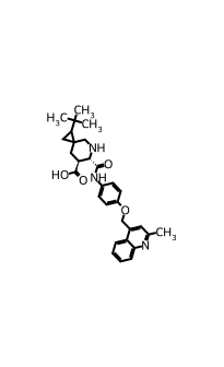 Cc1cc(COc2ccc(NC(=O)[C@H]3NCC4(CC4C(C)(C)C)C[C@@H]3C(=O)O)cc2)c2ccccc2n1